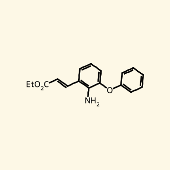 CCOC(=O)/C=C/c1cccc(Oc2ccccc2)c1N